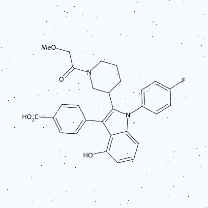 COCC(=O)N1CCCC(c2c(-c3ccc(C(=O)O)cc3)c3c(O)cccc3n2-c2ccc(F)cc2)C1